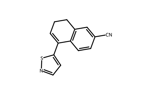 N#Cc1ccc2c(c1)CCC=C2c1ccns1